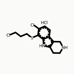 Cl.ClCCCSc1c(Cl)ccc2c3c([nH]c12)CCNC3